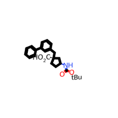 CC(C)(C)OC(=O)N[C@H]1CC[C@](Cc2cccc(-c3ccccc3)c2)(C(=O)O)C1